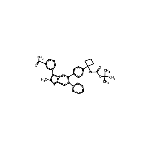 Cc1nc2cc(-c3ccccc3)c(-c3ccc(C4(NC(=O)OC(C)(C)C)CCC4)cc3)nn2c1-c1cccc(C(N)=O)c1